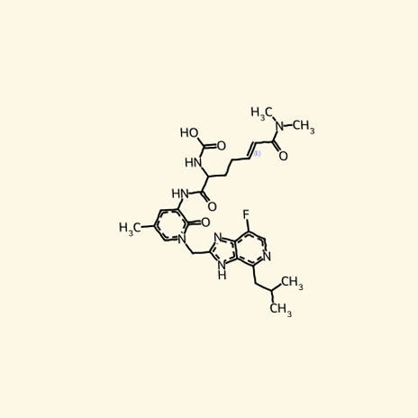 Cc1cc(NC(=O)C(CC/C=C/C(=O)N(C)C)NC(=O)O)c(=O)n(Cc2nc3c(F)cnc(CC(C)C)c3[nH]2)c1